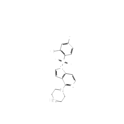 O=S(=O)(c1ccc(F)cc1Cl)n1ccc2c(N3CCNCC3)nccc21